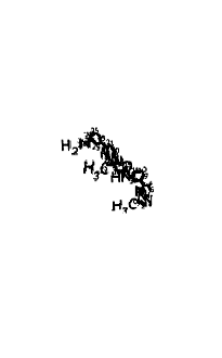 Cc1cnc2ccc(-c3cccc(NC(=O)Cc4nc5ccc(-c6cccc(N)c6)nn5c4C)c3)nn12